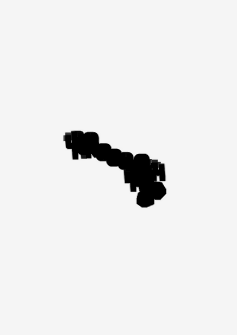 CCC(CC)(NC(=O)OCC1c2ccccc2-c2ccccc21)C(=O)NCCOCCOCCOCCNC(=O)OC(C)(C)C